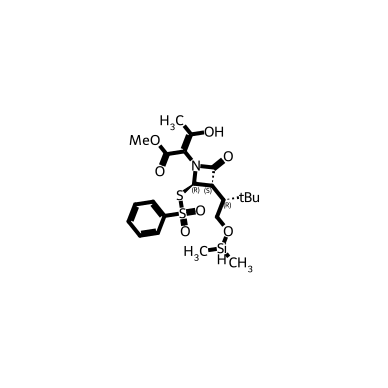 COC(=O)C(=C(C)O)N1C(=O)[C@H]([C@@H](CO[SiH](C)C)C(C)(C)C)[C@H]1SS(=O)(=O)c1ccccc1